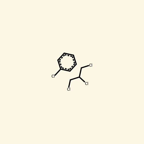 ClCC(Cl)CCl.Clc1ccccc1